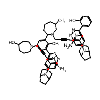 CC1CCCC(c2cccc(-c3cc(N4CC5CCC(C4)N5c4ccnc(C#CCN5CCCC(O)CC5)c4)c(N)nn3)c2O)N(CC#Cc2cc(N3C4CCC3CN(c3cc(-c5ccccc5O)nnc3N)C4)ccn2)C1